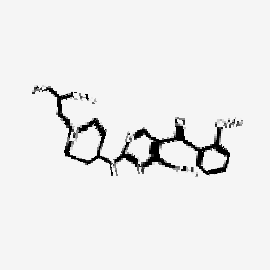 COc1ccccc1C(=O)c1cnc(NC2CCN(CC(C)C(C)=O)CC2)nc1N